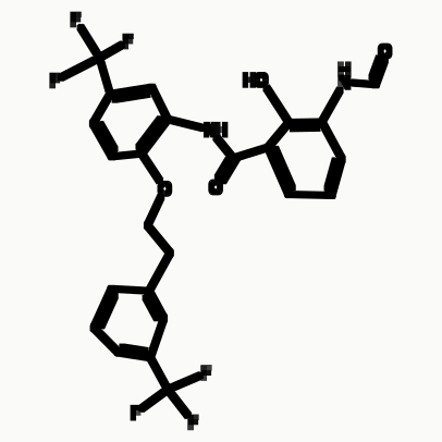 O=CNc1cccc(C(=O)Nc2cc(C(F)(F)F)ccc2OCCc2cccc(C(F)(F)F)c2)c1O